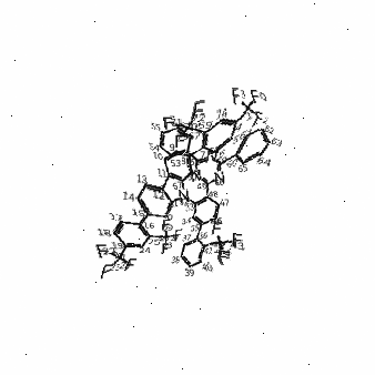 FC(F)(F)c1ccc(-c2ccc3c4ccc(-c5ccc(C(F)(F)F)cc5C(F)(F)F)cc4n(-c4cc(-c5ccccc5C(F)(F)F)ccc4-c4nc(-c5ccccc5)nc(-c5ccccc5)n4)c3c2)c(C(F)(F)F)c1